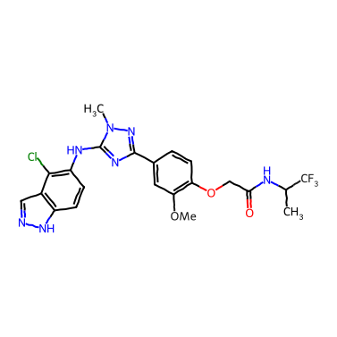 COc1cc(-c2nc(Nc3ccc4[nH]ncc4c3Cl)n(C)n2)ccc1OCC(=O)NC(C)C(F)(F)F